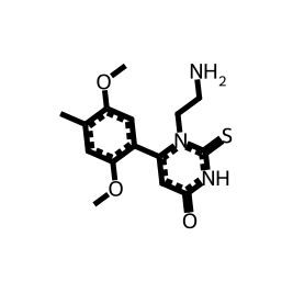 COc1cc(-c2cc(=O)[nH]c(=S)n2CCN)c(OC)cc1C